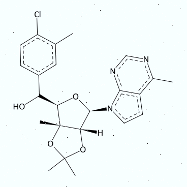 Cc1cc(C(O)[C@H]2O[C@@H](n3ccc4c(C)ncnc43)[C@@H]3OC(C)(C)O[C@]23C)ccc1Cl